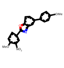 COc1ccc(-c2ccc3oc(-c4ccc(OC)c([N+](=O)[O-])c4)nc3c2)cc1